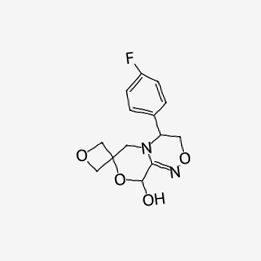 OC1OC2(COC2)CN2C1=NOCC2c1ccc(F)cc1